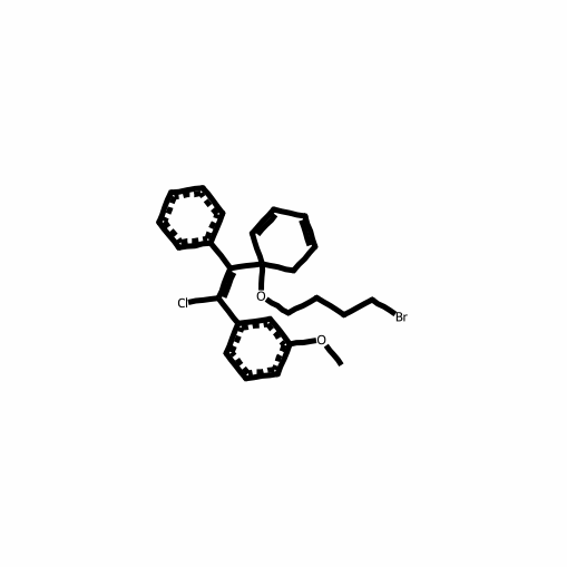 COc1cccc(C(Cl)=C(c2ccccc2)C2(OCCCCBr)C=CC=CC2)c1